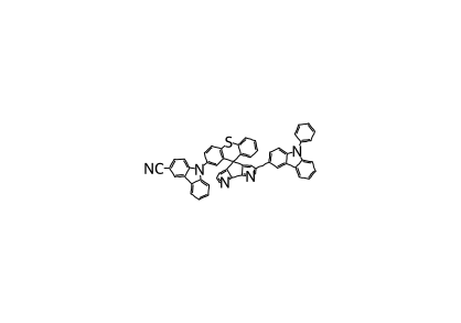 N#Cc1ccc2c(c1)c1ccccc1n2-c1ccc2c(c1)C1(c3ccccc3S2)c2cccnc2-c2ncc(-c3ccc4c(c3)c3ccccc3n4-c3ccccc3)cc21